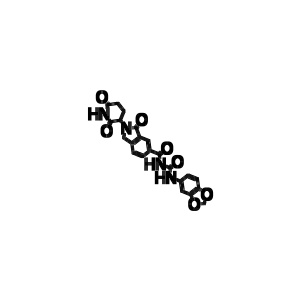 O=C1CCC(N2Cc3ccc(C(=O)NC(=O)Nc4ccc5c(c4)OCO5)cc3C2=O)C(=O)N1